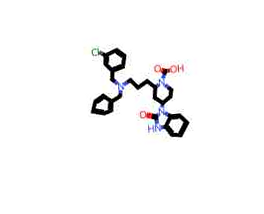 O=C(O)N1CCC(n2c(=O)[nH]c3ccccc32)CC1CCCN(Cc1ccccc1)Cc1cccc(Cl)c1